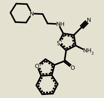 N#Cc1c(NCCN2CCCCC2)sc(C(=O)c2coc3ccccc23)c1N